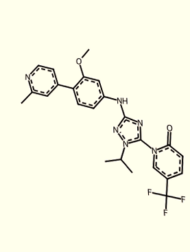 COc1cc(Nc2nc(-n3cc(C(F)(F)F)ccc3=O)n(C(C)C)n2)ccc1-c1ccnc(C)c1